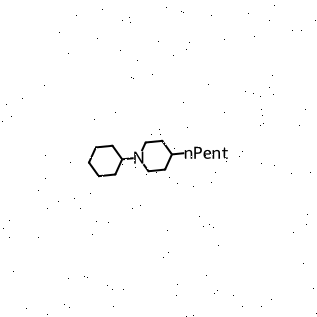 CCCCCC1CCN(C2CCCCC2)CC1